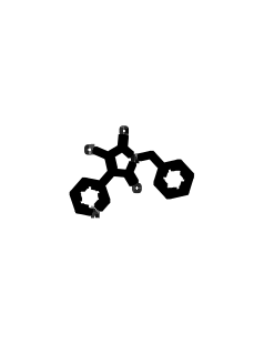 O=C1C(Cl)=C(c2cccnc2)C(=O)N1Cc1ccccc1